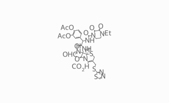 CCN1CCN(C(=O)NC(C(=O)N[C@]2(NC=O)C(=O)N3C(C(=O)O)=C(CSc4nncs4)CS[C@H]32)c2ccc(OC(C)=O)c(OC(C)=O)c2)C(=O)C1=O